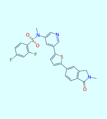 CN1Cc2cc(-c3ccc(-c4cncc(N(C)S(=O)(=O)c5ccc(F)cc5F)c4)s3)ccc2C1=O